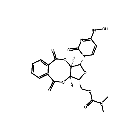 CN(C)C(=O)OC[C@H]1O[C@@H](n2ccc(NO)nc2=O)[C@@H]2OC(=O)c3ccccc3C(=O)O[C@@H]21